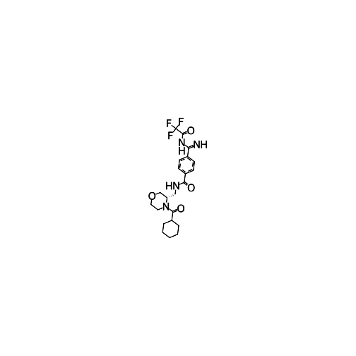 N=C(NC(=O)C(F)(F)F)c1ccc(C(=O)NC[C@H]2COCCN2C(=O)C2CCCCC2)cc1